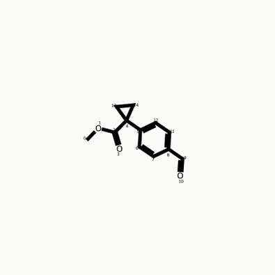 COC(=O)C1(c2ccc(C=O)cc2)CC1